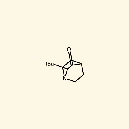 CC(C)(C)C1C(=O)C2CCN1CC2